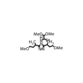 CCC(Nn1c(C(C)CCOC)nnc1C(C)CCOC)C(OC)OC